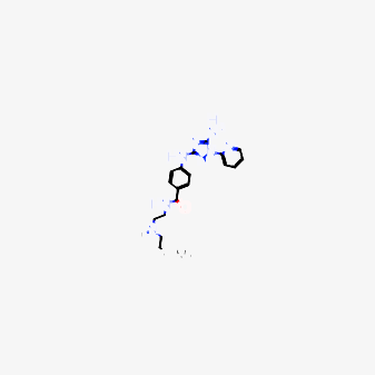 CCN(CCNC(=O)c1ccc(Nc2nc(N)n(-c3ccccn3)n2)cc1)CCOC